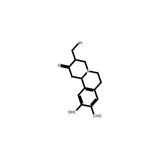 CC(C)CC1CN2CCc3cc(C=O)c(C=O)cc3C2CC1=O